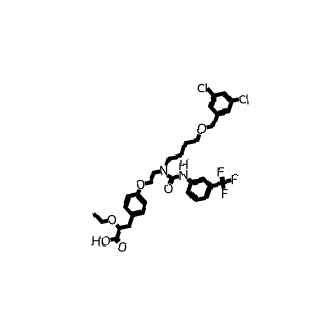 CCOC(Cc1ccc(OCCN(CCCCOCc2cc(Cl)cc(Cl)c2)C(=O)Nc2cccc(C(F)(F)F)c2)cc1)C(=O)O